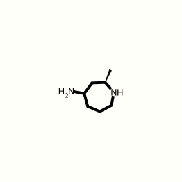 C[C@@H]1CC(N)CCCN1